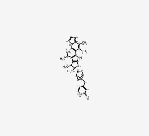 Cc1c(-c2[nH]c3c(c2C(C)C)C(C)C(C)([C@@H]2CC4CC2CN4Cc2cc[nH]c(=O)c2)S3)cn2ncnc2c1C